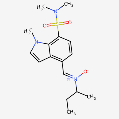 CCC(C)/[N+]([O-])=C/c1ccc(S(=O)(=O)N(C)C)c2c1ccn2C